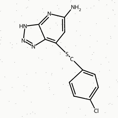 Nc1cc(SCc2ccc(Cl)cc2)c2nn[nH]c2n1